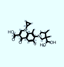 Cc1c(N2CC(C)C(C)(C(O)O)C2)c(F)cc2c(=O)c(C(=O)O)cn(C3CC3)c12